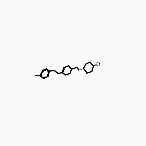 CC[C@H]1CC[C@H](CCC2CC=C(CCc3ccc(C)cc3)CC2)CC1